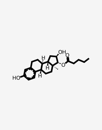 CCCCC(=O)O[C@H]1[C@H](O)C[C@H]2[C@@H]3CCc4cc(O)ccc4[C@H]3CC[C@@]21C